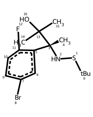 CC(C)(C)SN[C@](C)(c1cc(Br)ccc1F)C(C)(C)O